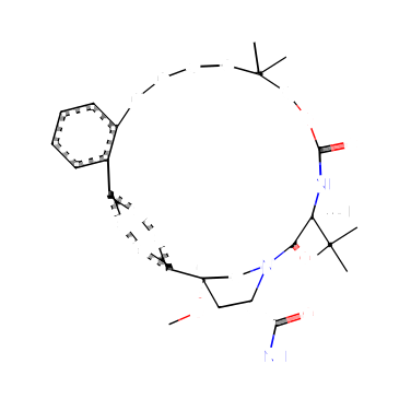 CO[C@@]12C[C@@H](C(N)=O)N(C1)C(=O)[C@H](C(C)(C)C)NC(=O)OCC(C)(C)CCCCc1ccccc1-c1ccc2cc1